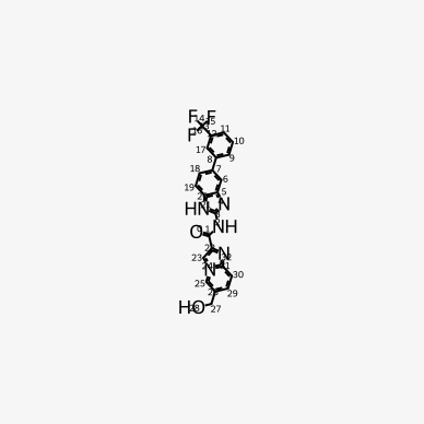 O=C(Nc1nc2cc(-c3cccc(C(F)(F)F)c3)ccc2[nH]1)c1cn2cc(CO)ccc2n1